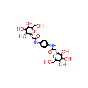 O=C(C[C@H]1O[C@H](CO)[C@@H](O)[C@H](O)[C@@H]1O)Nc1ccc(NC(=O)C[C@H]2O[C@H](CO)[C@@H](O)[C@H](O)[C@@H]2O)cc1